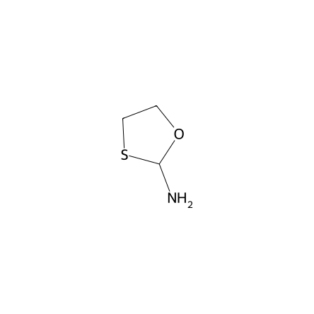 NC1OCCS1